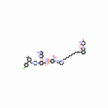 CC1(C)CCC(CN2CCN(c3ccc(C(=O)NS(=O)(=O)c4ccc(NCC5CCCN(CCCCCCCCCC#Cc6cccc7c6C(=O)N(C6CCC(=O)NC6=O)C7)C5)c([N+](=O)[O-])c4)c(Oc4cnc5[nH]ccc5c4)c3)CC2)=C(c2ccc(Cl)cc2)C1